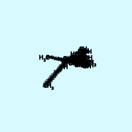 CCCCCCCCCCCCC/C=C/[C@@H](O)[C@H](CO[C@@H]1OC(CO)[C@@H](O[C@@H]2OC(CO)[C@H](O[C@@H]3OC(CO)[C@H](O[C@H]4OC(C)[C@@H](O)C(O)[C@@H]4O)[C@H](O[C@@H]4OC(CO)[C@H](O)[C@H](O[C@]5(C(=O)O)CC(O)[C@@H](NC(C)=O)C([C@H](O)[C@H](O)CO)O5)C4O)C3NC(C)=O)[C@H](O)C2O)[C@H](O)C1O)NC(=O)CCCCCCCCCCCCCCCCCCCCCCCCC